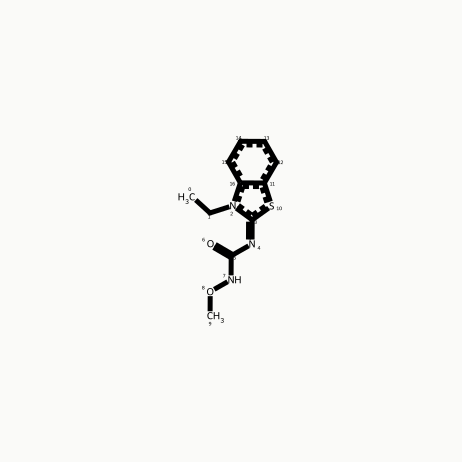 CCn1c(=NC(=O)NOC)sc2ccccc21